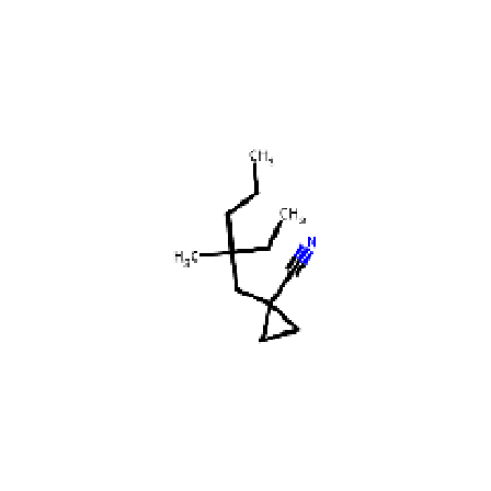 CCCC(C)(CC)CC1(C#N)CC1